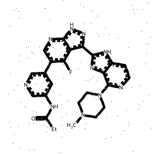 CCC(=O)Nc1cncc(-c2cnc3[nH]nc(-c4nc5c(N6CCN(C)CC6)nccc5[nH]4)c3c2F)c1